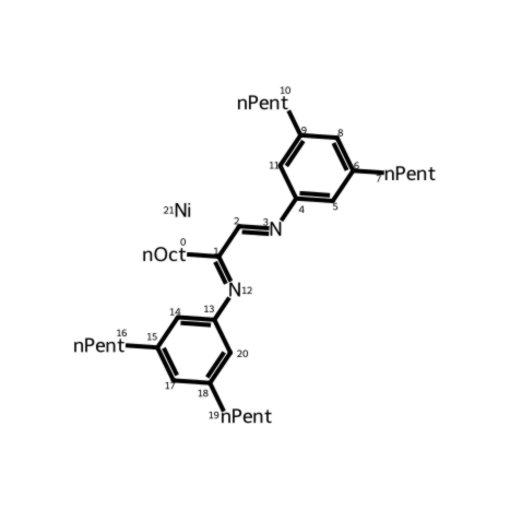 CCCCCCCCC(C=Nc1cc(CCCCC)cc(CCCCC)c1)=Nc1cc(CCCCC)cc(CCCCC)c1.[Ni]